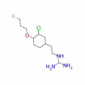 NC(N)NCCC1CCC(OCCCF)[C@@H](Cl)C1